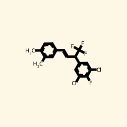 Cc1ccc(/C=C/C(c2cc(Cl)c(F)c(Cl)c2)C(F)(F)F)cc1C